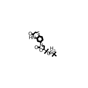 CC(C)(C)[SiH2]OC(C)(C)[C@@H]1CN(c2ccc3c(c2)NC(=O)CS3)C(=O)O1